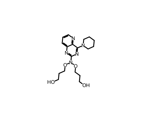 OCCCON(OCCCO)c1nc(N2CCCCC2)c2ncccc2n1